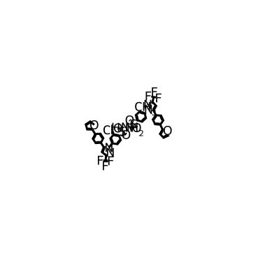 Cc1cc(S(N)(=O)=O)ccc1-n1nc(C(F)(F)F)cc1-c1ccc(-c2ccco2)cc1.NS(=O)(=O)c1ccc(-n2nc(C(F)(F)F)cc2-c2ccc(-c3ccco3)cc2)cc1Cl